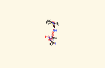 Cc1ncsc1-c1ccc(CNC(=O)[C@@H]2C[C@@H](O)CN2C(=O)[C@@H](NC(=O)COCCOCCNCCCCc2ccc(N3C(=S)N(c4ccc(C#N)c(C(F)(F)F)c4)C(=O)C3(C)C)cc2)C(C)(C)C)cc1